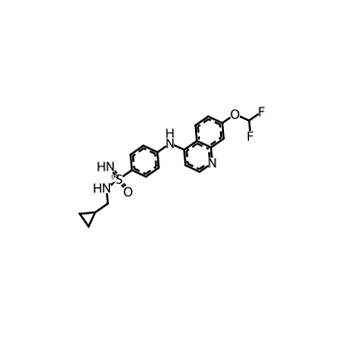 N=[S@](=O)(NCC1CC1)c1ccc(Nc2ccnc3cc(OC(F)F)ccc23)cc1